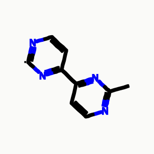 Cc1nccc(-c2ccn[c]n2)n1